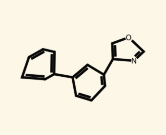 c1ccc(-c2cccc(-c3cocn3)c2)cc1